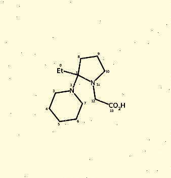 CCC1(N2CCCCC2)CCCN1CC(=O)O